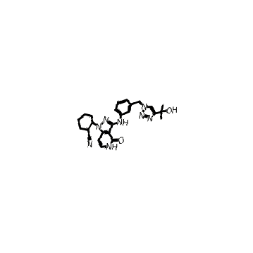 CC(C)(O)c1cn(Cc2cccc(Nc3nn(C4CCCCC4C#N)c4cc[nH]c(=O)c34)c2)nn1